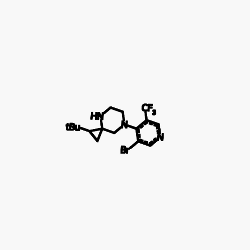 CC(C)(C)C1CC12CN(c1c(Br)cncc1C(F)(F)F)CCN2